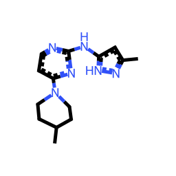 Cc1cc(Nc2nccc(N3CCC(C)CC3)n2)[nH]n1